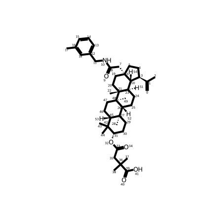 C=C(C)[C@@H]1CC[C@]2(CC(=O)NCc3cccc(C)c3)CC[C@]3(C)[C@H](CC[C@@H]4[C@@]5(C)CC[C@H](OC(=O)CC(C)(C)C(=O)O)C(C)(C)[C@@H]5CC[C@]43C)[C@@H]12